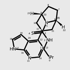 CC(C)CNC(=S)N1[C@@H]2CC[C@H]1CN(c1ncnc3[nH]ccc13)C2